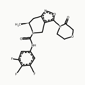 C[C@H]1Cc2noc(N3CCOCC3=O)c2CN1C(=O)Nc1cc(F)c(F)c(F)c1